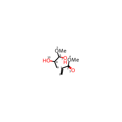 C=CC(=O)OC.COC(O)C(C)O